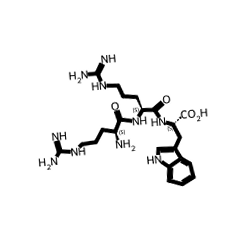 N=C(N)NCCC[C@H](NC(=O)[C@@H](N)CCCNC(=N)N)C(=O)N[C@@H](Cc1c[nH]c2ccccc12)C(=O)O